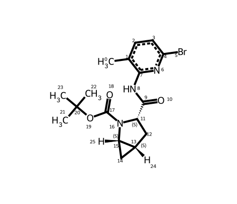 Cc1ccc(Br)nc1NC(=O)[C@@H]1C[C@@H]2C[C@@H]2N1C(=O)OC(C)(C)C